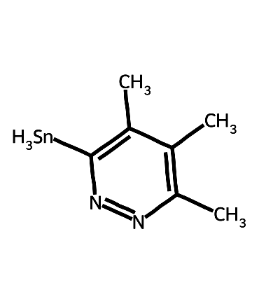 Cc1nn[c]([SnH3])c(C)c1C